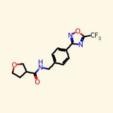 O=C(NCc1ccc(-c2noc(C(F)(F)F)n2)cc1)C1CCOC1